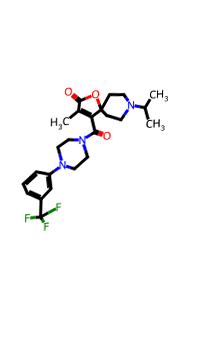 CC1=C(C(=O)N2CCN(c3cccc(C(F)(F)F)c3)CC2)C2(CCN(C(C)C)CC2)OC1=O